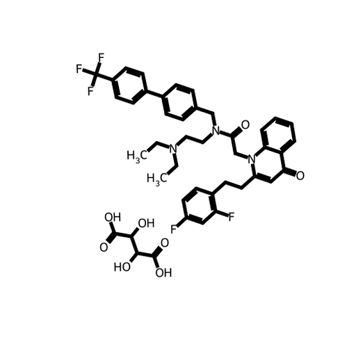 CCN(CC)CCN(Cc1ccc(-c2ccc(C(F)(F)F)cc2)cc1)C(=O)Cn1c(CCc2ccc(F)cc2F)cc(=O)c2ccccc21.O=C(O)C(O)C(O)C(=O)O